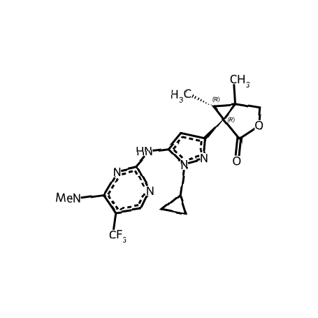 CNc1nc(Nc2cc([C@]34C(=O)OCC3(C)[C@H]4C)nn2C2CC2)ncc1C(F)(F)F